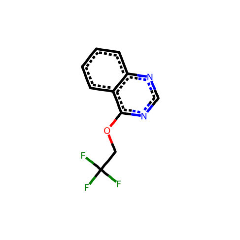 FC(F)(F)COc1ncnc2ccccc12